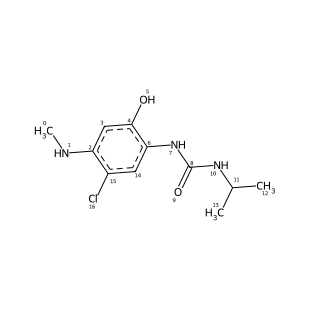 CNc1cc(O)c(NC(=O)NC(C)C)cc1Cl